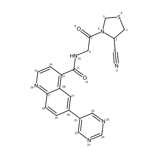 N#CC1CSCN1C(=O)CNC(=O)c1ccnc2ccc(-c3cncnc3)cc12